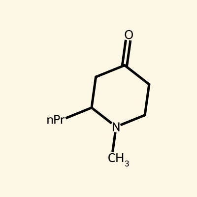 CCCC1CC(=O)CCN1C